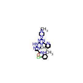 CC1CC=CC(Cl)=C1NC(=O)c1cnc(Nc2nc(-c3ccccn3)nc(N3CCN(C)CC3)n2)n1C